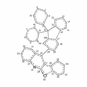 c1ccc(C2(c3ccccc3)c3ccccc3-c3ccc(-c4c5ccccc5nc5oc6ccccc6c45)cc32)cc1